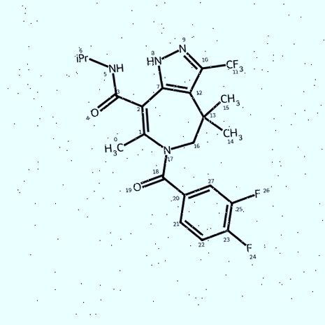 CC1=C(C(=O)NC(C)C)c2[nH]nc(C(F)(F)F)c2C(C)(C)CN1C(=O)c1ccc(F)c(F)c1